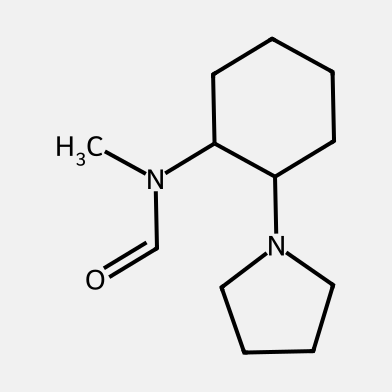 CN(C=O)C1CCCCC1N1CCCC1